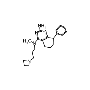 CN(CCCN1CCC1)c1nc(N)nc2c1CCCC2c1ccccc1